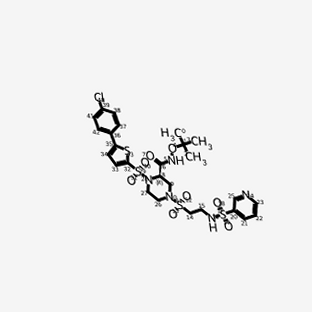 CC(C)(C)ONC(=O)[C@H]1CN(S(=O)(=O)CCNS(=O)(=O)c2cccnc2)CCN1S(=O)(=O)c1ccc(-c2ccc(Cl)cc2)s1